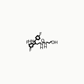 O=C(NCCCO)NCCc1c(-c2ccc(F)cc2)[nH]c2c(F)cc(F)cc12